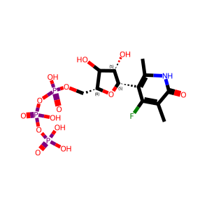 Cc1[nH]c(=O)c(C)c(F)c1[C@@H]1O[C@H](COP(=O)(O)OP(=O)(O)OP(=O)(O)O)C(O)[C@@H]1O